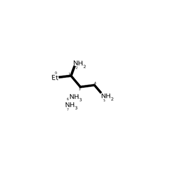 CCC(N)CCN.N.N